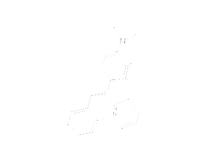 CN(C)c1ccc(P(Cc2ccccc2)c2ccccc2)cc1